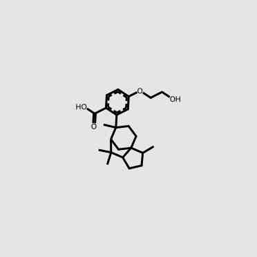 CC1CCC2C(C)(C)C3CC12CCC3(C)c1cc(OCCO)ccc1C(=O)O